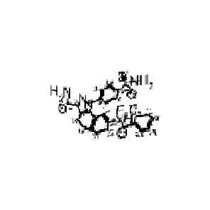 NC(=O)c1nn(-c2ccc(S(N)(=O)=O)cc2)c2c1CCc1ccc(NC(=O)c3ccccc3C(F)(F)F)cc1-2